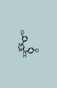 COc1ccc(Nc2cc(-c3cccc(C=O)c3)ncn2)cc1